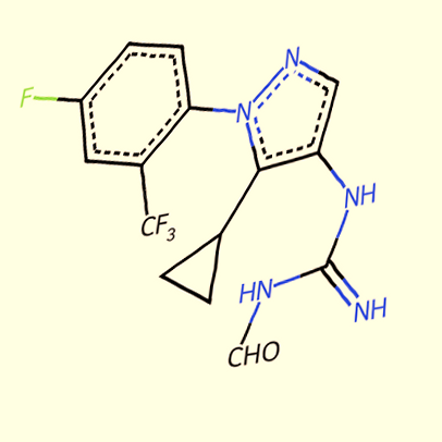 N=C(NC=O)Nc1cnn(-c2ccc(F)cc2C(F)(F)F)c1C1CC1